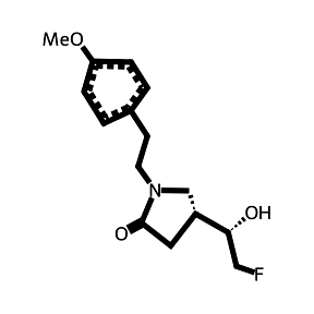 COc1ccc(CCN2C[C@H]([C@H](O)CF)CC2=O)cc1